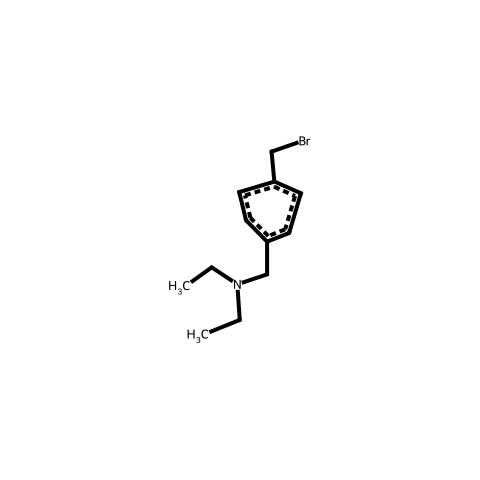 CCN(CC)Cc1ccc(CBr)cc1